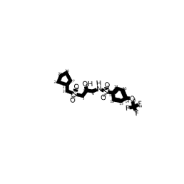 O=S(=O)(CC(O)CNS(=O)(=O)c1ccc(OC(F)(F)F)cc1)CC1CCCC1